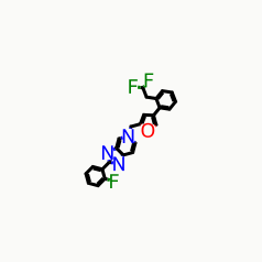 Fc1ccccc1-c1nc2ccn(Cc3cc(-c4ccccc4CC(F)F)co3)cc-2n1